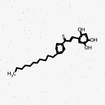 CCCCCCCCCCCc1ccc(C(=S)C=Cc2cc(O)c(O)cc2O)cc1